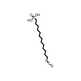 O=C=NCCCCCCCCCCCCCP(=O)(O)O